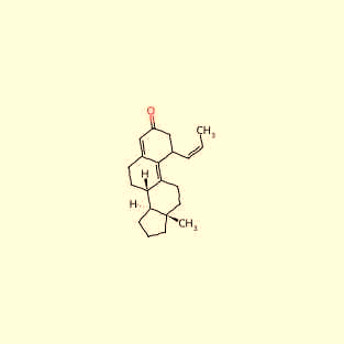 C/C=C\C1CC(=O)C=C2CC[C@@H]3C(=C21)CC[C@]1(C)CCC[C@@H]31